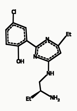 CCc1cc(NC[C@@H](N)CC)nc(-c2cc(Cl)ccc2O)n1